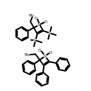 CC(C)(C)CC1(c2ccccc2)C([Si](C)(C)C)=C([Si](C)(C)C)[Si]1(Cl)Cl.CC(C)(C)CC1(c2ccccc2)C(c2ccccc2)=C(c2ccccc2)[Si]1(Cl)Cl